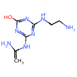 C=C(N)Nc1nc(O)nc(NCCN)n1